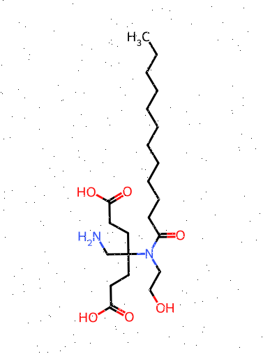 CCCCCCCCCCCC(=O)N(CCO)C(CN)(CCC(=O)O)CCC(=O)O